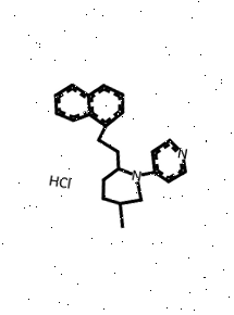 CC1CCC(CCc2cccc3ccccc23)N(c2ccncc2)C1.Cl